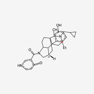 CCc1ccc(O)cc1C12CCN(CC3CC3)C(C)C13CCC1C2[C@@H](CN1C(=O)c1c[nH]ccc1=O)C3